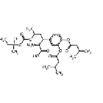 CCC(C)(C)OC(=O)OC(C)CC(c1ccc(OC(=O)CC(C)C)c(OC(=O)CC(C)C)c1)[C@H](N)C(=O)O